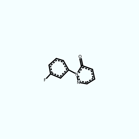 O=c1cccnn1-c1cccc(F)c1